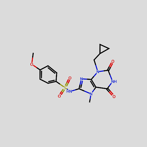 COc1ccc(S(=O)(=O)Nc2nc3c(c(=O)[nH]c(=O)n3CC3CC3)n2C)cc1